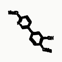 COc1ccc(-c2c[c]c(OC)c(O)c2)cn1